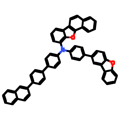 c1ccc2cc(-c3ccc(-c4ccc(N(c5ccc(-c6ccc7oc8ccccc8c7c6)cc5)c5cccc6c5oc5c7ccccc7ccc65)cc4)cc3)ccc2c1